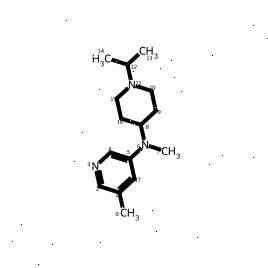 Cc1cncc(N(C)C2CCN(C(C)C)CC2)c1